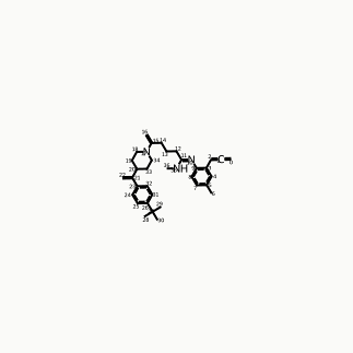 C=C=Cc1cc(C)ccc1/N=C(/CCCC(=C)N1CCC(C(=C)c2ccc(C(C)(C)C)cc2)CC1)NC